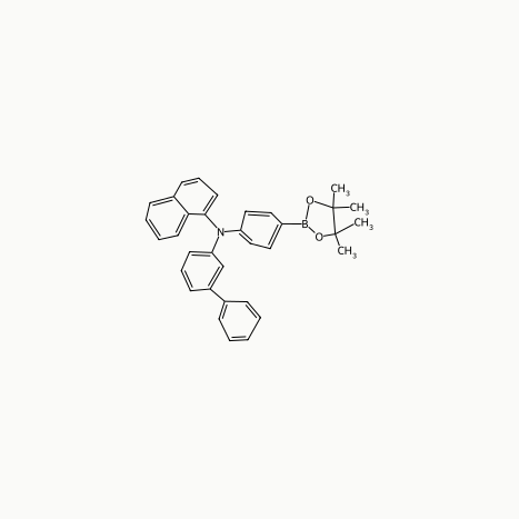 CC1(C)OB(c2ccc(N(c3cccc(-c4ccccc4)c3)c3cccc4ccccc34)cc2)OC1(C)C